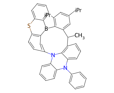 CC(C)c1cc(C(C)C)c2c(c1)C(C)c1cccc3c1N(c1ccc4c(c1)B2c1ccccc1S4)c1ccccc1N3c1ccccc1